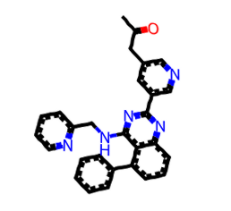 CC(=O)Cc1cncc(-c2nc(NCc3ccccn3)c3c(-c4ccccc4)cccc3n2)c1